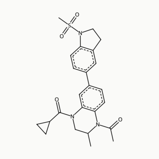 CC(=O)N1c2ccc(-c3ccc4c(c3)CCN4S(C)(=O)=O)cc2N(C(=O)C2CC2)CC1C